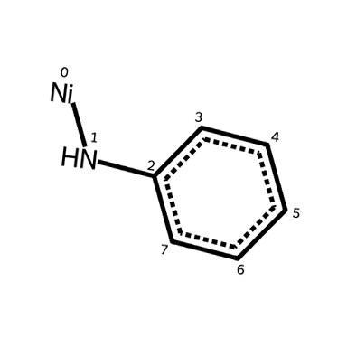 [Ni][NH]c1ccccc1